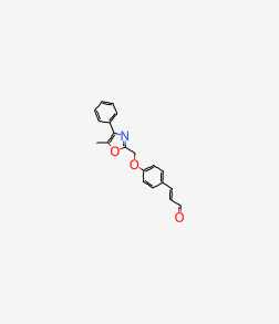 Cc1oc(COc2ccc(C=CC=O)cc2)nc1-c1ccccc1